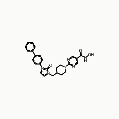 O=C(NO)c1cnc(N2CCC(Cn3ccn(-c4ccc(-c5ccccc5)cc4)c3=O)CC2)nc1